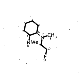 CN[C@H]1CCCC[C@@H]1N(C)CCF